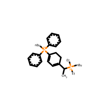 CCCC[PH](C1=CC=C(C(C)[PH](CC)(CC)CCCC)CC1)(c1ccccc1)c1ccccc1